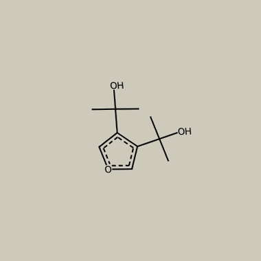 CC(C)(O)c1cocc1C(C)(C)O